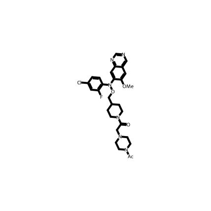 COc1cc2cncnc2cc1N(OCC1CCN(C(=O)CN2CCN(C(C)=O)CC2)CC1)c1ccc(Cl)cc1F